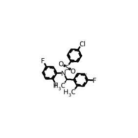 Cc1cc(F)[c]cc1[C@@H](C)N(c1cc(F)ccc1F)S(=O)(=O)c1ccc(Cl)cc1